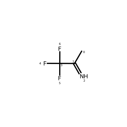 CC(=N)C(F)(F)F